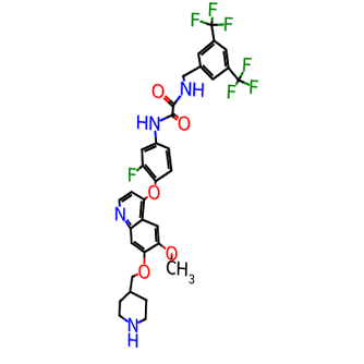 COc1cc2c(Oc3ccc(NC(=O)C(=O)NCc4cc(C(F)(F)F)cc(C(F)(F)F)c4)cc3F)ccnc2cc1OCC1CCNCC1